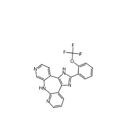 FC(F)(F)Oc1ccccc1-c1nc2c([nH]1)-c1ccncc1Nc1ncccc1-2